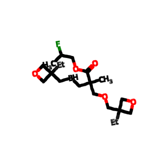 CCC1(CBCC(C)(COCC2(CC)COC2)C(=O)OCC(C)F)COC1